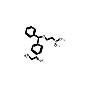 CN(C)CCOC(c1ccccc1)c1ccccc1.NCCN